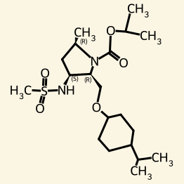 CC(C)OC(=O)N1[C@H](C)C[C@H](NS(C)(=O)=O)[C@@H]1COC1CCC(C(C)C)CC1